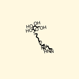 OCC1OC(SCCCCOCc2cn(Cc3cnc[nH]3)nn2)C(O)C(O)C1O